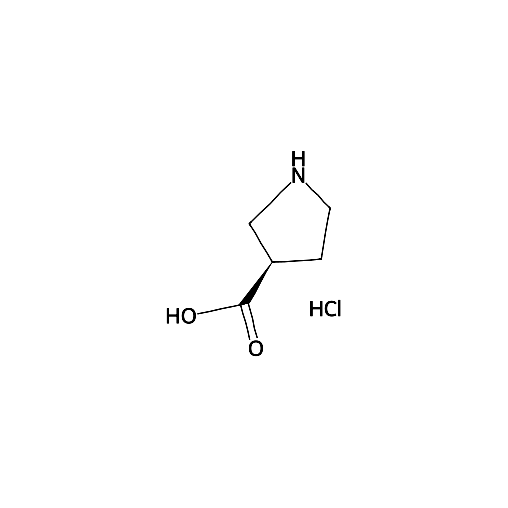 Cl.O=C(O)[C@@H]1CCNC1